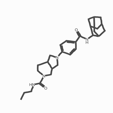 CCCNC(=O)N1CCC2CN(c3ccc(C(=O)NC4C5CC6CC(C5)CC4C6)cc3)CC2C1